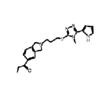 CCC(=O)c1ccc2c(c1)CN(CCCSc1nnc(-c3ccc[nH]3)n1C)C2